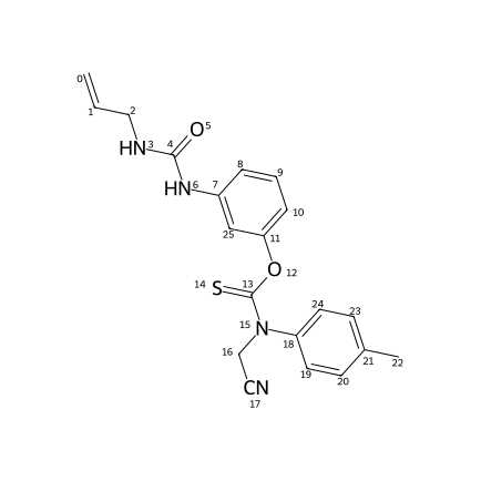 C=CCNC(=O)Nc1cccc(OC(=S)N(CC#N)c2ccc(C)cc2)c1